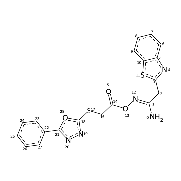 NC(Cc1nc2ccccc2s1)=NOC(=O)CSc1nnc(-c2ccccc2)o1